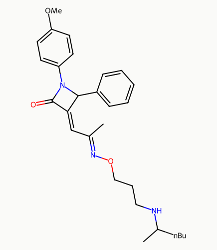 CCCCC(C)NCCCO/N=C(C)/C=C1/C(=O)N(c2ccc(OC)cc2)C1c1ccccc1